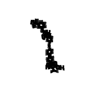 CC(C)[C@@H](NS(=O)(=O)N1CCN(c2ccc(C#Cc3ccnc(C(=O)NCc4cccc(C(F)(F)F)c4)c3)cc2)CC1)C(=O)O